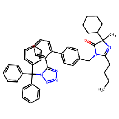 CCCCC1=NC(C)(C2CCCCC2)C(=O)N1Cc1ccc(-c2ccccc2-c2nnnn2C(c2ccccc2)(c2ccccc2)c2ccccc2)cc1